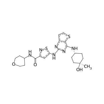 C[C@]1(O)CC[C@H](Nc2nc(Nc3cc(C(=O)NC4CCOCC4)ns3)nc3ccsc23)CC1